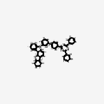 c1ccc(-c2nc(-c3ccccc3)nc(-c3ccc(-c4cccc(-n5c6ccccc6c6c7sc8ccccc8c7ccc65)c4)cc3)n2)cc1